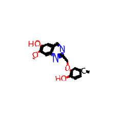 CCc1ccc(O)c(OCc2ncc3cc(O)c(OC)cc3n2)c1